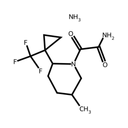 CC1CCC(C2(C(F)(F)F)CC2)N(C(=O)C(N)=O)C1.N